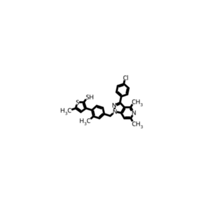 Cc1cc2c(c(C)n1)c(-c1ccc(Cl)cc1)nn2Cc1ccc(-c2cc(C)sc2S)c(C)c1